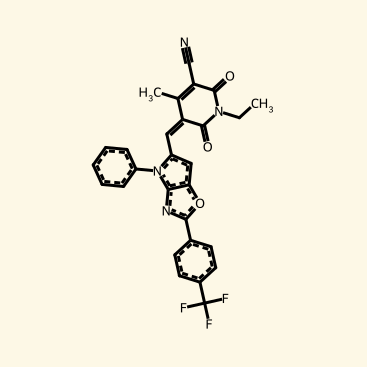 CCN1C(=O)C(C#N)=C(C)/C(=C/c2cc3oc(-c4ccc(C(F)(F)F)cc4)nc3n2-c2ccccc2)C1=O